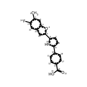 Cc1cc2oc(-c3ccc(-c4ccc(C(=O)O)cc4)[nH]3)cc2cc1F